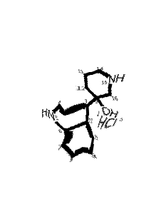 Cl.OC1(c2c[nH]c3ccccc23)CCCNC1